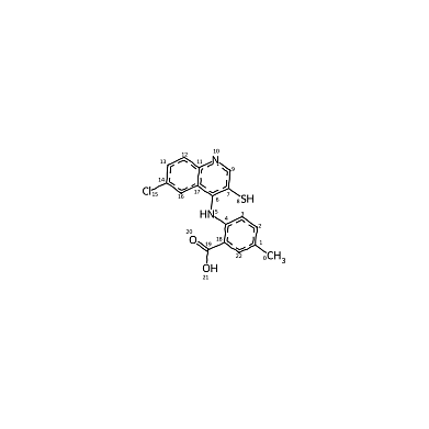 Cc1ccc(Nc2c(S)cnc3ccc(Cl)cc23)c(C(=O)O)c1